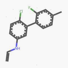 C=CNc1ccc(Cl)c(-c2ccc(C)cc2F)c1